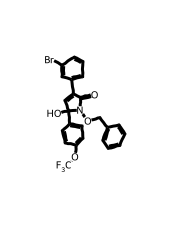 O=C1C(c2cccc(Br)c2)=CC(O)(c2ccc(OC(F)(F)F)cc2)N1OCc1ccccc1